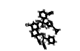 BC(Nc1cc(Cl)c2ncc(C#N)c(N[C@H](CC#N)c3ccccc3)c2c1)(c1cccc(C#N)c1)c1cn(C2CC2)nn1